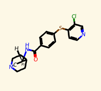 O=C(N[C@H]1CN2CCC1CC2)c1ccc(Sc2ccncc2Cl)cc1